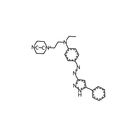 CCN(CC[N+]12CCN(CC1)CC2)c1ccc(N=Nc2cc(-c3ccccc3)[nH]n2)cc1